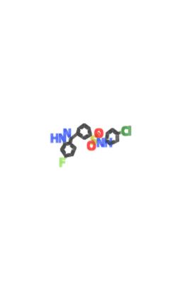 O=S(=O)(Nc1ccc(Cl)cc1)c1cccc(-c2n[nH]c3cc(F)ccc23)c1